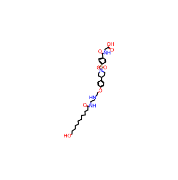 O=C(O)CNC(=O)c1ccc(S(=O)(=O)N2CCC(c3ccc(OCCNCCNC(=O)CCCCCCCCCCCO)cc3)CC2)cc1